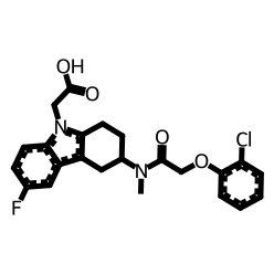 CN(C(=O)COc1ccccc1Cl)C1CCc2c(c3cc(F)ccc3n2CC(=O)O)C1